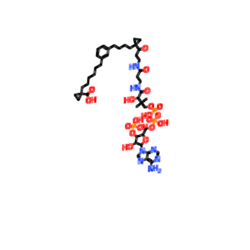 CC(C)(COP(=O)(O)OP(=O)(O)OCC1OC(n2cnc3c(N)ncnc32)C(O)C1OP(=O)(O)O)C(O)C(=O)NCCC(=O)NCCC(=O)C1(CCCCc2cccc(CCCCCCC3(C(=O)O)CC3)c2)CC1